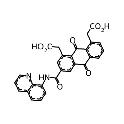 O=C(O)Cc1cccc2c1C(=O)c1c(CC(=O)O)cc(C(=O)Nc3cccc4cccnc34)cc1C2=O